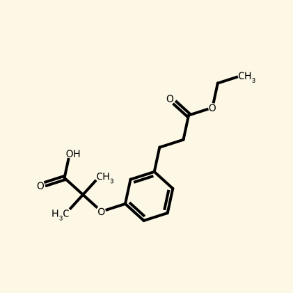 CCOC(=O)CCc1cccc(OC(C)(C)C(=O)O)c1